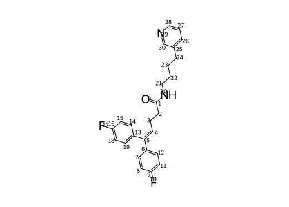 O=C(CCC=C(c1ccc(F)cc1)c1ccc(F)cc1)NCCCCc1cccnc1